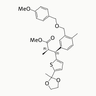 COC(=O)[C@H](C)[C@@H](c1ccc(C)c(COCc2ccc(OC)cc2)c1)c1ccc(C2(C)OCCO2)s1